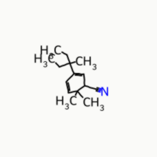 CCC(C)(CC)C1=CC(C#N)C(C)(C)C=C1